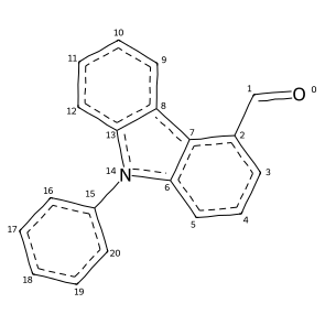 O=Cc1cccc2c1c1ccccc1n2-c1ccccc1